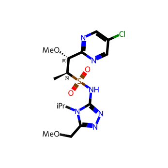 COCc1nnc(NS(=O)(=O)[C@@H](C)[C@H](OC)c2ncc(Cl)cn2)n1C(C)C